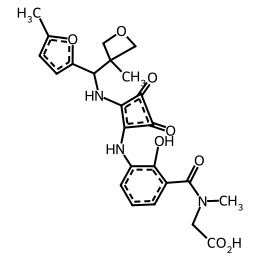 Cc1ccc(C(Nc2c(Nc3cccc(C(=O)N(C)CC(=O)O)c3O)c(=O)c2=O)C2(C)COC2)o1